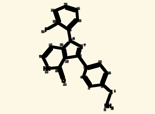 NSc1ccc(-c2nn(-c3ccccc3F)c3cc[nH]c(=O)c23)cc1